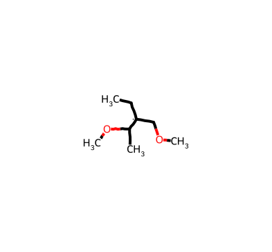 CC[C](COC)C(C)OC